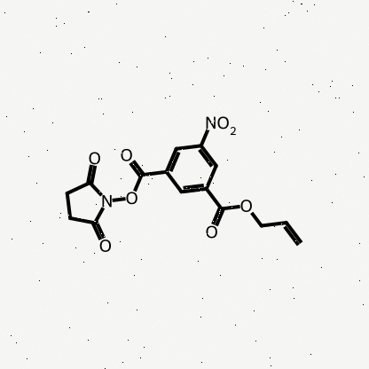 C=CCOC(=O)c1cc(C(=O)ON2C(=O)CCC2=O)cc([N+](=O)[O-])c1